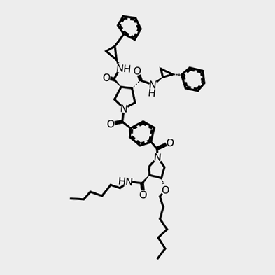 CCCCCCCO[C@H]1CN(C(=O)c2ccc(C(=O)N3C[C@@H](C(=O)N[C@H]4CC4c4ccccc4)[C@H](C(=O)N[C@H]4C[C@@H]4c4ccccc4)C3)cc2)C[C@@H]1C(=O)NCCCCCC